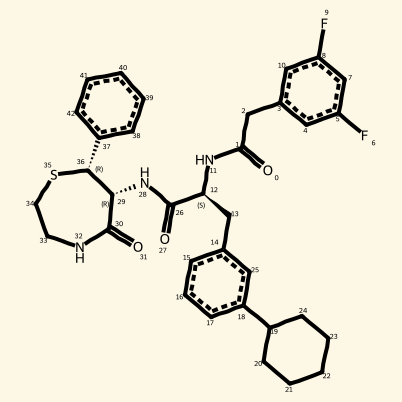 O=C(Cc1cc(F)cc(F)c1)N[C@@H](Cc1cccc(C2CCCCC2)c1)C(=O)N[C@@H]1C(=O)NCCS[C@@H]1c1ccccc1